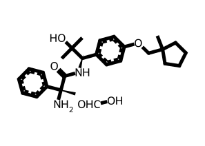 CC1(COc2ccc([C@@H](NC(=O)[C@](C)(N)c3ccccc3)C(C)(C)O)cc2)CCCC1.O=CO